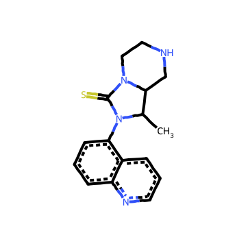 CC1C2CNCCN2C(=S)N1c1cccc2ncccc12